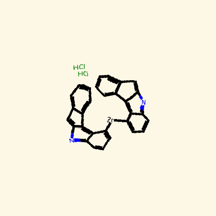 C1=C2N=c3ccc[c]([Zr][c]4cccc5c4=C4C(=Cc6ccccc64)N=5)c3=C2c2ccccc21.Cl.Cl